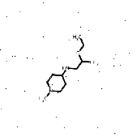 CCOC(C)CNC1CCN(C)CC1